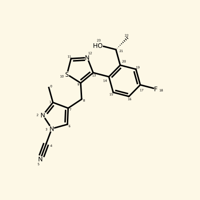 Cc1nn(C#N)cc1Cc1scnc1-c1ccc(F)cc1[C@@H](C)O